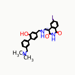 CN(C)Cc1cccc(-c2ccc(CN/C=C3\C(=O)NC(=O)c4ccc(I)cc43)cc2O)c1